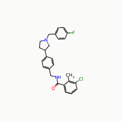 Cc1c(Cl)cccc1C(=O)NCc1ccc(C2CCN(Cc3ccc(F)cc3)C2)cc1